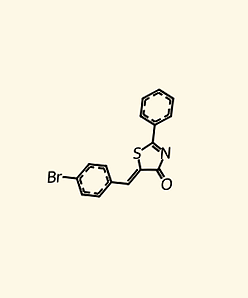 O=C1N=C(c2ccccc2)S/C1=C\c1ccc(Br)cc1